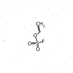 C=COS(=O)(=O)F